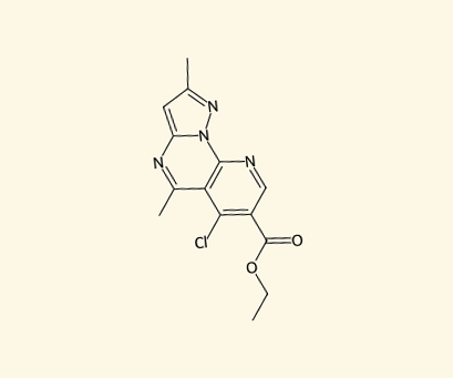 CCOC(=O)c1cnc2c(c(C)nc3cc(C)nn32)c1Cl